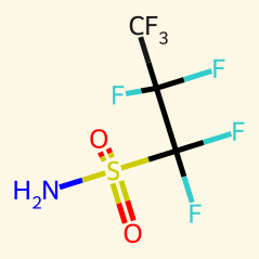 NS(=O)(=O)C(F)(F)C(F)(F)C(F)(F)F